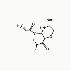 C=CC(=O)OC1NCCOC1C(=O)C(F)F.[NaH]